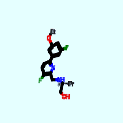 CCOc1cc(F)cc(-c2ccc(F)c(CN[C@@H](CO)C(C)C)n2)c1